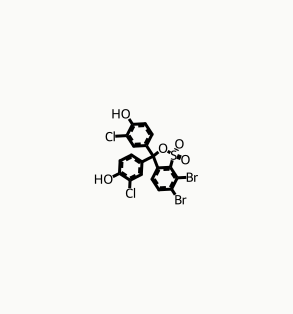 O=S1(=O)OC(c2ccc(O)c(Cl)c2)(c2ccc(O)c(Cl)c2)c2ccc(Br)c(Br)c21